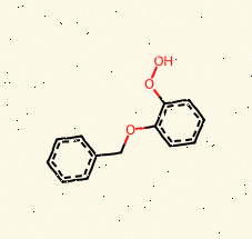 OOc1ccccc1OCc1ccccc1